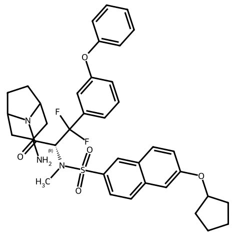 CN([C@H](C(=O)N1C2CCC1CC(N)C2)C(F)(F)c1cccc(Oc2ccccc2)c1)S(=O)(=O)c1ccc2cc(OC3CCCC3)ccc2c1